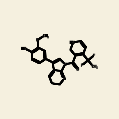 COc1cc(-c2cn(C(=O)C3=C(C(C)(F)F)C=CNC3)c3c2=CCCN=3)ccc1O